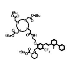 Cc1c(/C=C/c2cc(OCCNC(=O)CN3CCN(CC(=O)OC(C)(C)C)CCN(CC(=O)OC(C)(C)C)CCN(CC(=O)OC(C)(C)C)CC3)c(CN3CCCC[C@H]3C(=O)OC(C)(C)C)cc2C(F)(F)F)cccc1-c1ccccc1